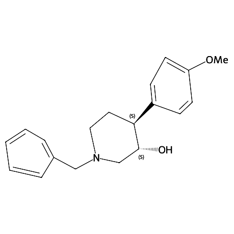 COc1ccc([C@@H]2CCN(Cc3ccccc3)C[C@H]2O)cc1